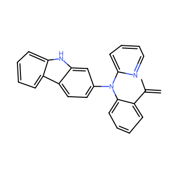 C=C(C)c1ccccc1N(c1ccc2c(c1)[nH]c1ccccc12)c1ccccn1